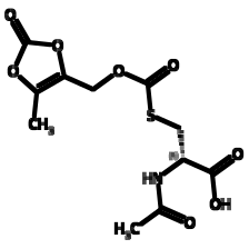 CC(=O)N[C@H](CSC(=O)OCc1oc(=O)oc1C)C(=O)O